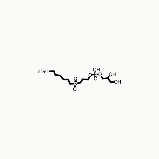 CCCCCCCCCCCCCCCCS(=O)(=O)CCCOP(=O)(O)OCC(O)CO